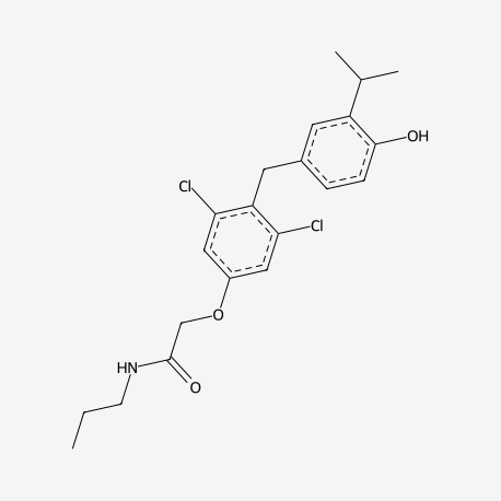 CCCNC(=O)COc1cc(Cl)c(Cc2ccc(O)c(C(C)C)c2)c(Cl)c1